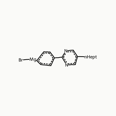 CCCCCCCc1cnc(-c2cc[c]([Mg][Br])cc2)nc1